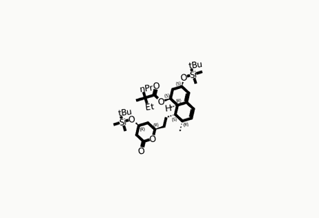 CCCC(C)(CC)C(=O)O[C@H]1C[C@H](O[Si](C)(C)C(C)(C)C)C=C2C=C[C@H](C)[C@H](CC[C@@H]3C[C@@H](O[Si](C)(C)C(C)(C)C)CC(=O)O3)[C@H]21